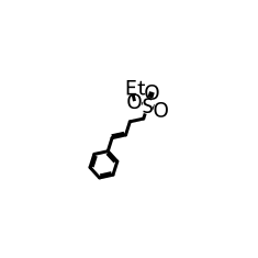 CCOS(=O)(=O)CCC=Cc1ccccc1